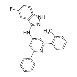 Cc1ccccc1-c1cc(Nc2n[nH]c3ccc(F)cc23)cc(-c2ccccc2)n1